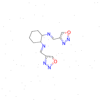 C(=NC1CCCCC1N=Cc1conn1)c1conn1